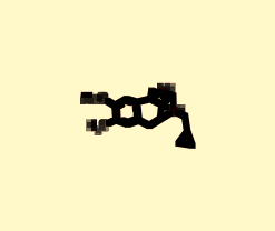 COc1cc2c(cc1C)CC1N(CC3CC3)CCC23CCNCCC13O